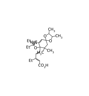 CCC(C=CC1(O[Si](CC)(CC)CC)C(C)=CC2(CC1(C)C)OC(C)C(C)O2)=CC(=O)O